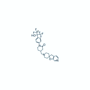 O=C1CC(CN2CCC3(CC2)Cc2ccncc2O3)CCN1c1ccc(C(O)(C(F)(F)F)C(F)(F)F)cc1